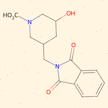 O=C(O)N1CC(O)CC(CN2C(=O)c3ccccc3C2=O)C1